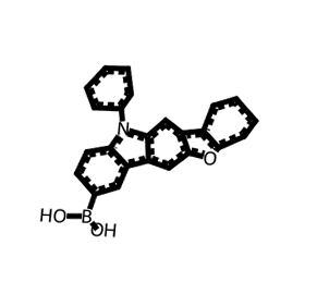 OB(O)c1ccc2c(c1)c1cc3oc4ccccc4c3cc1n2-c1ccccc1